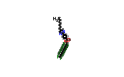 CCCCCCCc1cnc(-c2ccc(C(=O)OCC(F)(F)C(F)(F)C(F)(F)C(F)(F)C(F)(F)C(F)(F)C(F)(F)C(F)F)cc2)nc1